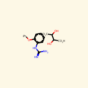 CC(C)Oc1ccccc1NC(=N)N.O=C(O)C(O)C(O)C(=O)O